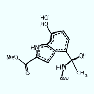 COC(=O)c1cc2c(C(C)(O)NC(C)(C)C)ccc(O)c2[nH]1.Cl